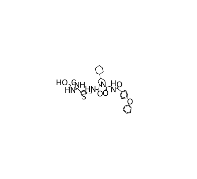 N=C(NC(=O)O)c1csc(CNC(=O)[C@@H]2C[C@H](C3CCCCC3)CN2C(=O)CNC(=O)c2ccc(Oc3ccccc3)cc2)c1